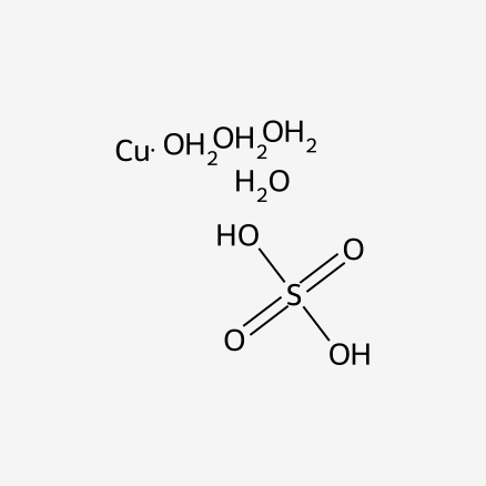 O.O.O.O.O=S(=O)(O)O.[Cu]